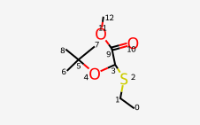 CCSC(OC(C)(C)C)C(=O)OC